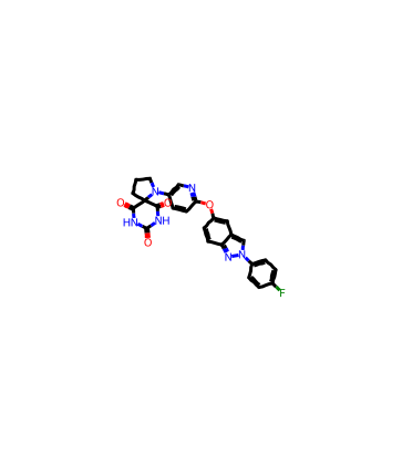 O=C1NC(=O)C2(CCCN2c2ccc(Oc3ccc4nn(-c5ccc(F)cc5)cc4c3)nc2)C(=O)N1